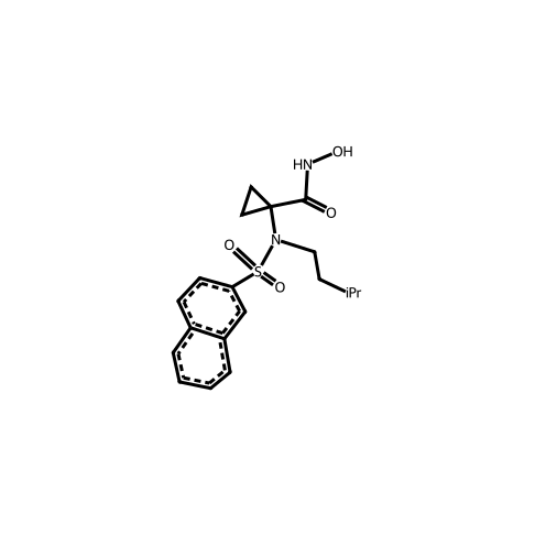 CC(C)CCN(C1(C(=O)NO)CC1)S(=O)(=O)c1ccc2ccccc2c1